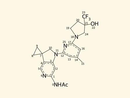 CC(=O)Nc1cc2c(cn1)C1(CC1)CN2c1cc(C)cc(N2CCC(O)(C(F)(F)F)C2)n1